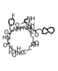 O=C1CC[C@H](NC(=O)Cc2ccc3ccccc3c2)C(=O)N[C@@H](Cc2c[nH]cn2)C(=O)N[C@H](Cc2ccc(F)cc2)C(=O)NCC(=O)NCC(=O)NCCCCN1